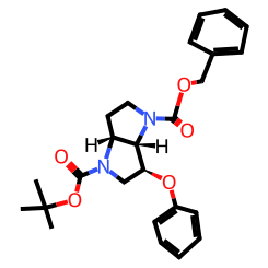 CC(C)(C)OC(=O)N1C[C@H](Oc2ccccc2)[C@@H]2[C@H]1CCN2C(=O)OCc1ccccc1